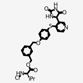 CC(C)[C@@H](NCl)C(=O)OCc1cccc(COc2ccc(Sc3ccncc3C3NC(=O)NC3=O)cc2)c1